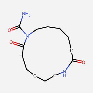 NC(=O)N1CCCCCC(=O)NCCCC[CH]C1=O